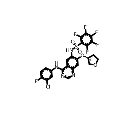 O=S(=O)(Nc1cc2c(Nc3ccc(F)c(Cl)c3)ncnc2cc1O[C@H]1CCOC1)c1c(F)c(F)c(F)c(F)c1F